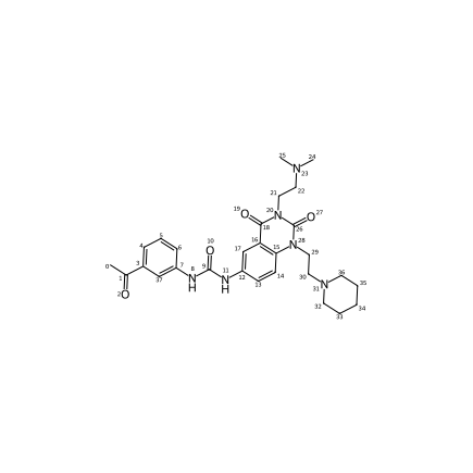 CC(=O)c1cccc(NC(=O)Nc2ccc3c(c2)c(=O)n(CCN(C)C)c(=O)n3CCN2CCCCC2)c1